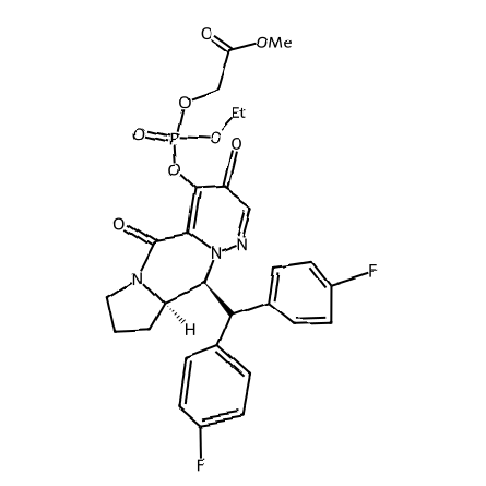 CCOP(=O)(OCC(=O)OC)Oc1c2n(ncc1=O)[C@@H](C(c1ccc(F)cc1)c1ccc(F)cc1)[C@H]1CCCN1C2=O